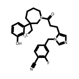 CCC1(c2cccc(O)c2)CCCCN(C(=O)CCc2cncn2Cc2ccc(C#N)c(F)c2)C1